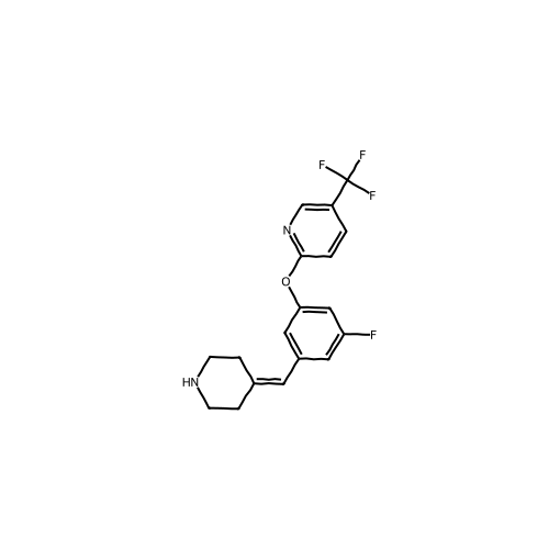 Fc1cc(C=C2CCNCC2)cc(Oc2ccc(C(F)(F)F)cn2)c1